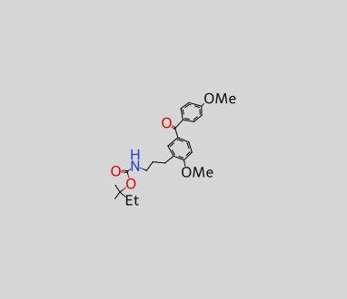 CCC(C)(C)OC(=O)NCCCc1cc(C(=O)c2ccc(OC)cc2)ccc1OC